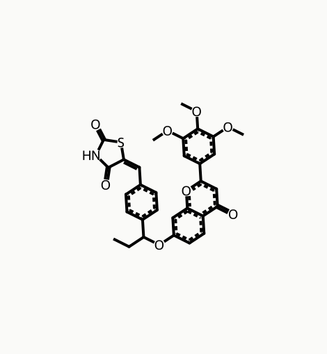 CCC(Oc1ccc2c(=O)cc(-c3cc(OC)c(OC)c(OC)c3)oc2c1)c1ccc(/C=C2/SC(=O)NC2=O)cc1